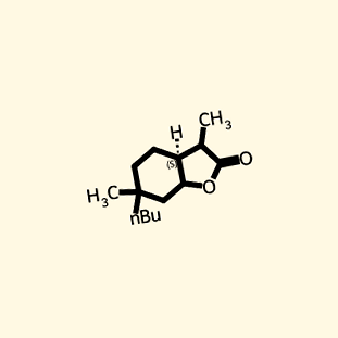 CCCCC1(C)CC[C@@H]2C(C1)OC(=O)C2C